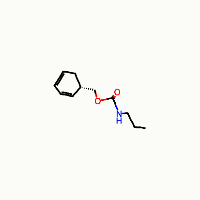 CCCNC(=O)OC[C@@H]1C=CC=CC1